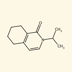 CC(C)n1ccc2c(c1=O)CCCC2